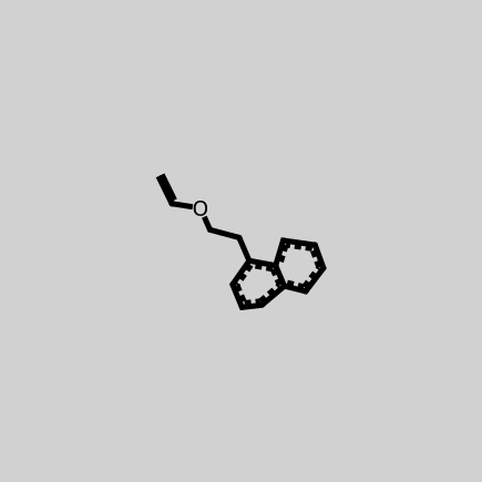 C=COCCc1cccc2ccccc12